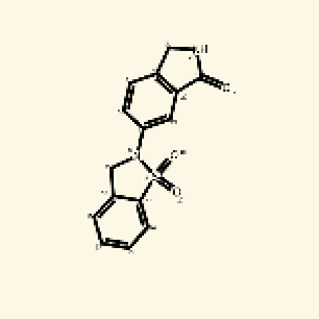 O=C1NCc2ccc(N3Cc4ccccc4S3(=O)=O)cc21